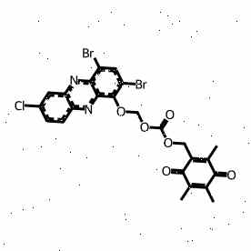 CC1=C(C)C(=O)C(COC(=O)OCOc2c(Br)cc(Br)c3nc4cc(Cl)ccc4nc23)=C(C)C1=O